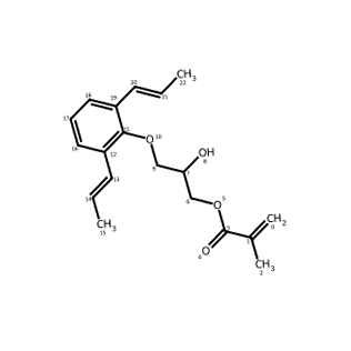 C=C(C)C(=O)OCC(O)COc1c(C=CC)cccc1C=CC